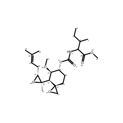 CCC(C)C(NC(=O)O[C@@H]1CC[C@]2(CO2)[C@@H]([C@@]2(C)O[C@@H]2CC=C(C)C)[C@H]1OC)C(=O)OC